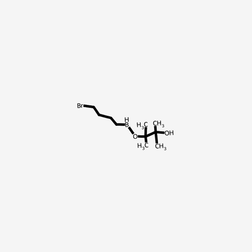 CC(C)(O)C(C)(C)OBCCCCBr